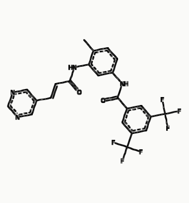 Cc1ccc(NC(=O)c2cc(C(F)(F)F)cc(C(F)(F)F)c2)cc1NC(=O)C=Cc1cncnc1